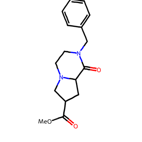 COC(=O)C1CC2C(=O)N(Cc3ccccc3)CCN2C1